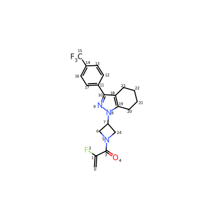 C=C(F)C(=O)N1CC(n2nc(-c3ccc(C(F)(F)F)cc3)c3c2CCCC3)C1